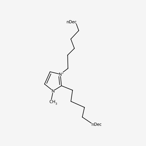 CCCCCCCCCCCCCCC[n+]1ccn(C)c1CCCCCCCCCCCCCC